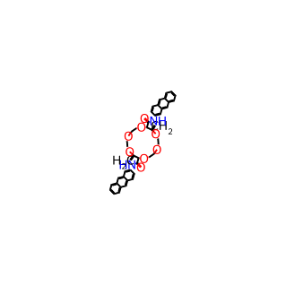 C=C1OCCOCCOC(C(=O)Nc2ccc3cc4ccccc4cc3c2)C(=C)OCCOCCOC1C(=O)Nc1ccc2cc3ccccc3cc2c1